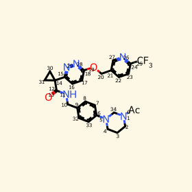 CC(=O)N1CCCN(c2ccc(CNC(=O)C3(c4ccc(OCc5ccc(C(F)(F)F)nc5)nn4)CC3)cc2)C1